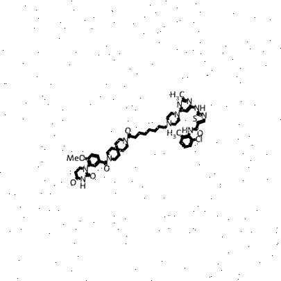 COc1ccc(C(=O)N2CCC3(CCN(C(=O)CCCCCCCN4CCN(c5cc(Nc6ncc(C(=O)Nc7c(C)cccc7Cl)s6)nc(C)n5)CC4)CC3)CC2)cc1N1CCC(=O)NC1=O